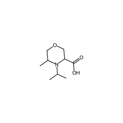 CC(C)N1C(C)COCC1C(=O)O